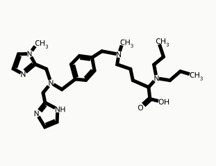 CCCN(CCC)C(CCCN(C)Cc1ccc(CN(Cc2ncc[nH]2)Cc2nccn2C)cc1)C(=O)O